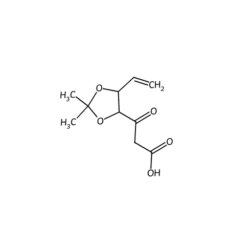 C=CC1OC(C)(C)OC1C(=O)CC(=O)O